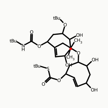 CC(C)(C)NC(=O)OC1CC(OC(C)(C)C)C(O)CC(O)/C=C/1CC(C)(C)OC1CC(OC(=O)SC(C)(C)C)/C=C/C(O)CC1O